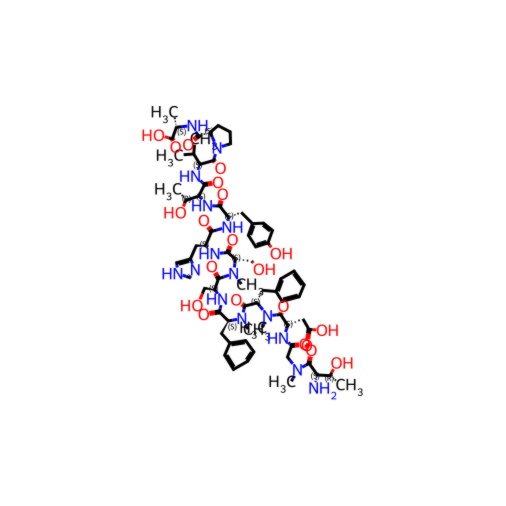 CC(C)[C@H](NC(=O)[C@@H](NC(=O)[C@H](Cc1ccc(O)cc1)NC(=O)[C@H](Cc1c[nH]cn1)NC(=O)[C@H](CO)N(C)C(=O)[C@H](CO)NC(=O)[C@H](Cc1ccccc1)N(C)C(=O)[C@H](Cc1ccccc1)N(C)C(=O)[C@H](CC(=O)O)NC(=O)CN(C)C(=O)[C@@H](N)[C@@H](C)O)[C@@H](C)O)C(=O)N1CCC[C@H]1C(=O)N[C@@H](C)C(=O)O